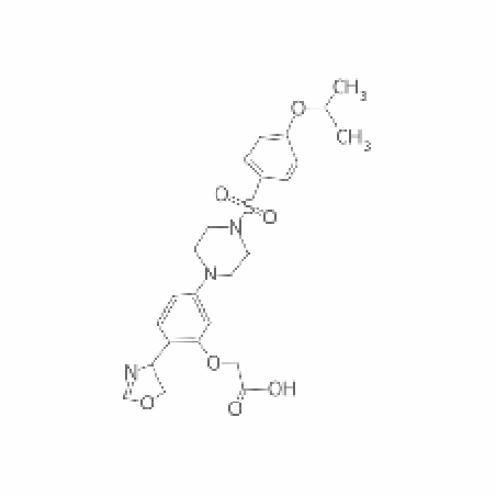 CC(C)Oc1ccc(S(=O)(=O)N2CCN(c3ccc(C4COC=N4)c(OCC(=O)O)c3)CC2)cc1